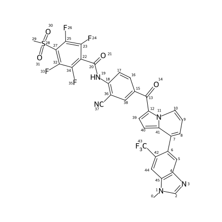 Cn1cnc2cc(-c3cccn4c(C(=O)c5ccc(NC(=O)c6c(F)c(F)c(S(C)(=O)=O)c(F)c6F)c(C#N)c5)ccc34)c(C(F)(F)F)cc21